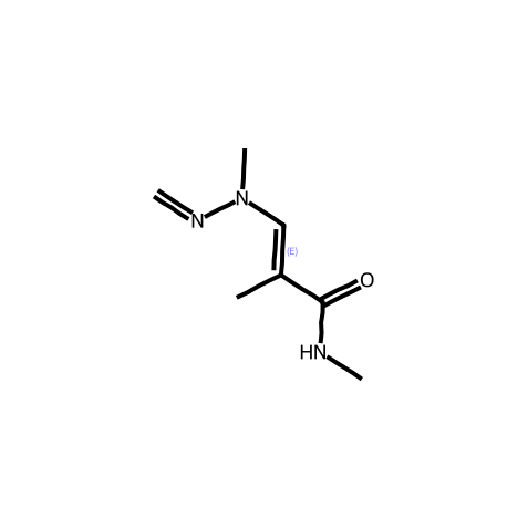 C=NN(C)/C=C(\C)C(=O)NC